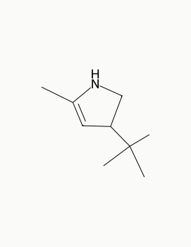 CC1=CC(C(C)(C)C)CN1